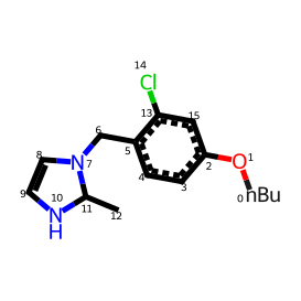 CCCCOc1ccc(CN2C=CNC2C)c(Cl)c1